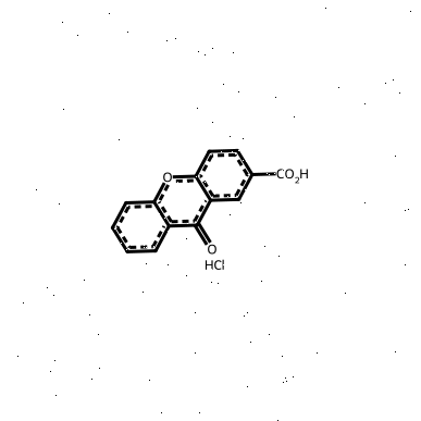 Cl.O=C(O)c1ccc2oc3ccccc3c(=O)c2c1